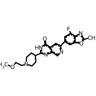 COCCN1CCC(c2nc3cnc(-c4cc(F)c5nc(C)oc5c4)cc3c(=O)[nH]2)CC1